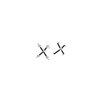 C[N+](C)(C)C.[O-][I+3]([O-])([O-])[O-]